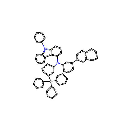 c1ccc(-n2c3ccccc3c3c(N(c4cccc(-c5ccc6ccccc6c5)c4)c4cccc([Si](c5ccccc5)(c5ccccc5)c5ccccc5)c4)cccc32)cc1